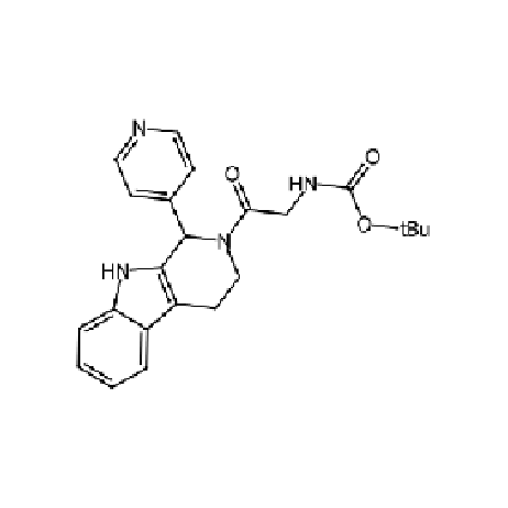 CC(C)(C)OC(=O)NCC(=O)N1CCc2c([nH]c3ccccc23)C1c1ccncc1